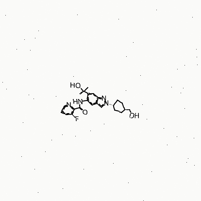 CC(C)(O)c1cc2nn([C@H]3CC[C@H](CO)CC3)cc2cc1NC(=O)c1ncccc1F